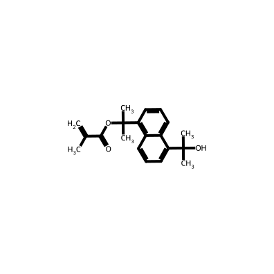 C=C(C)C(=O)OC(C)(C)c1cccc2c(C(C)(C)O)cccc12